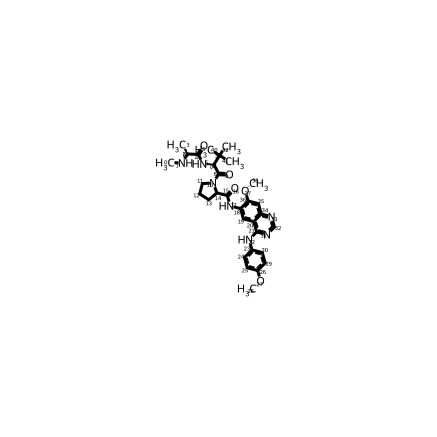 CN[C@@H](C)C(=O)N[C@H](C(=O)N1CCCC1C(=O)Nc1cc2c(Nc3ccc(OC)cc3)ncnc2cc1OC)C(C)(C)C